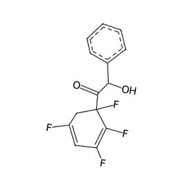 O=C(C(O)c1ccccc1)C1(F)CC(F)=CC(F)=C1F